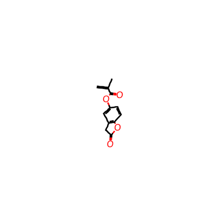 C=C(C)C(=O)Oc1ccc2c(c1)CC(=O)O2